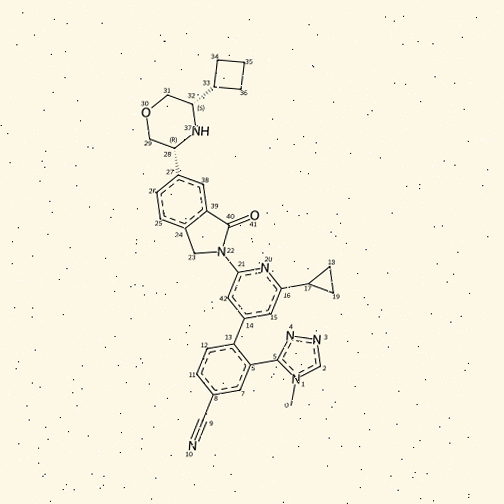 Cn1cnnc1-c1cc(C#N)ccc1-c1cc(C2CC2)nc(N2Cc3ccc([C@@H]4COC[C@H](C5CCC5)N4)cc3C2=O)c1